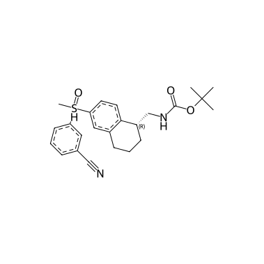 CC(C)(C)OC(=O)NC[C@@H]1CCCc2cc([SH](C)(=O)c3cccc(C#N)c3)ccc21